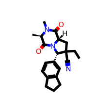 CCC1(C#N)C[C@H]2C(=O)N(C)[C@H](C)C(=O)N2[C@H]1c1ccc2c(c1)CCC2